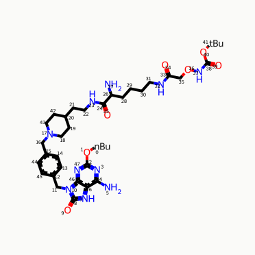 CCCCOc1nc(N)c2[nH]c(=O)n(Cc3ccc(CN4CCC(CCNC(=O)C(N)CCCCNC(=O)CONC(=O)OC(C)(C)C)CC4)cc3)c2n1